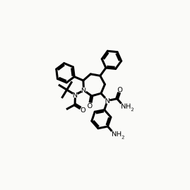 CC(=O)N(N1C(=O)C(N(C(N)=O)c2cccc(N)c2)CC(c2ccccc2)CC1c1ccccc1)C(C)(C)C